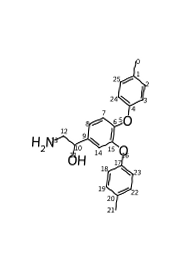 Cc1ccc(Oc2ccc(C(O)CN)cc2Oc2ccc(C)cc2)cc1